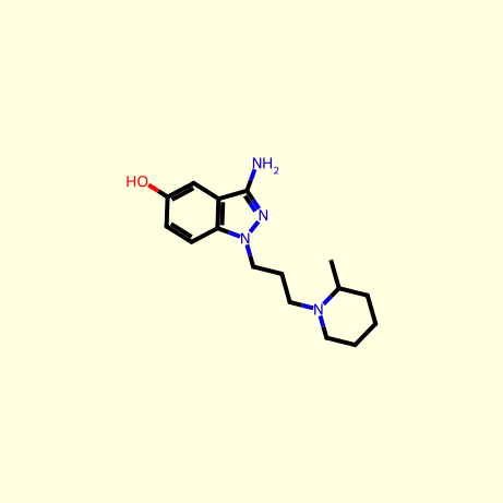 CC1CCCCN1CCCn1nc(N)c2cc(O)ccc21